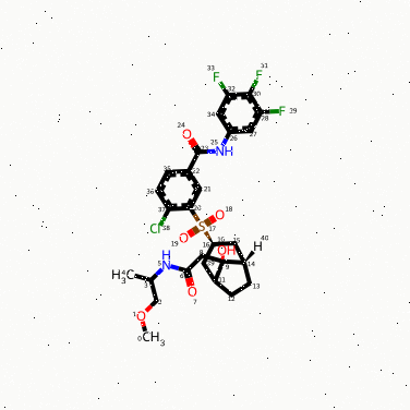 COCC(C)NC(=O)C[C@@]1(O)C2CC[C@H]1C[C@H](S(=O)(=O)c1cc(C(=O)Nc3cc(F)c(F)c(F)c3)ccc1Cl)C2